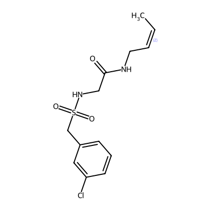 C/C=C\CNC(=O)CNS(=O)(=O)Cc1cccc(Cl)c1